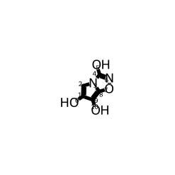 Oc1cn2c(O)noc2c1O